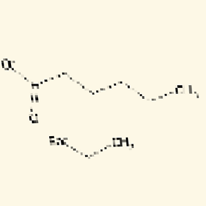 CCCCCC(=O)[O-].C[CH2][Ba+]